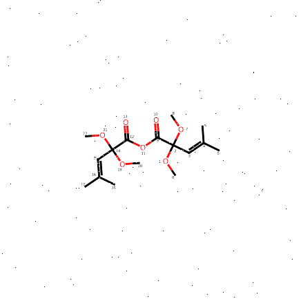 COC(C=C(C)C)(OC)C(=O)OC(=O)C(C=C(C)C)(OC)OC